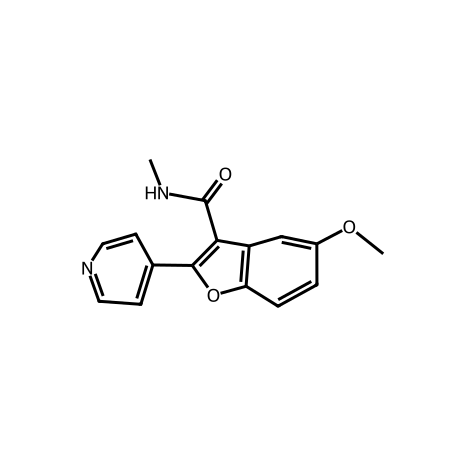 CNC(=O)c1c(-c2ccncc2)oc2ccc(OC)cc12